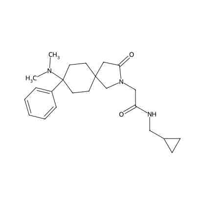 CN(C)C1(c2ccccc2)CCC2(CC1)CC(=O)N(CC(=O)NCC1CC1)C2